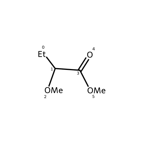 CCC(OC)C(=O)OC